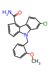 COc1ccccc1Cn1c2cc(Cl)c[c]c2c2c(C(N)=O)cccc21